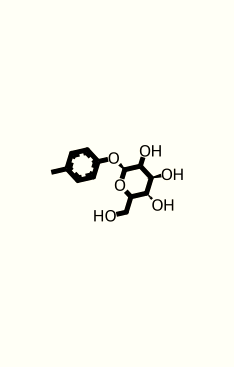 Cc1ccc(O[C@@H]2OC(CO)[C@@H](O)[C@H](O)C2O)cc1